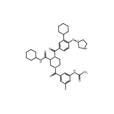 CC(=O)Nc1cc(F)cc(C(=O)N2CCN(C(=O)c3ccc(O[C@H]4CCNC4)c(C4CCCCC4)c3)C(C(=O)NC3CCCCC3)C2)c1